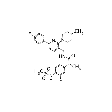 CC1CCN(c2nc(-c3ccc(F)cc3)ccc2CNC(=O)C(C)c2ccc(NS(C)(=O)=O)c(F)c2)CC1